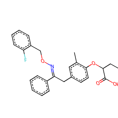 CCC(Oc1ccc(CC(=NOCc2ccccc2F)c2ccccc2)cc1C)C(=O)O